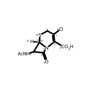 CC(=O)NC1C(=O)N2C(C(=O)O)=C(Cl)CS[C@@H]12